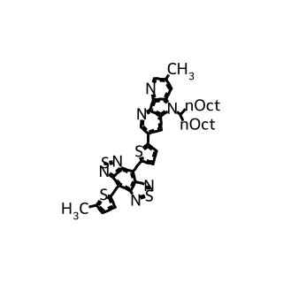 CCCCCCCCC(CCCCCCCC)n1c2cc(C)cnc2c2ncc(-c3ccc(-c4c5c(c(-c6ccc(C)s6)c6nsnc46)N=S=N5)s3)cc21